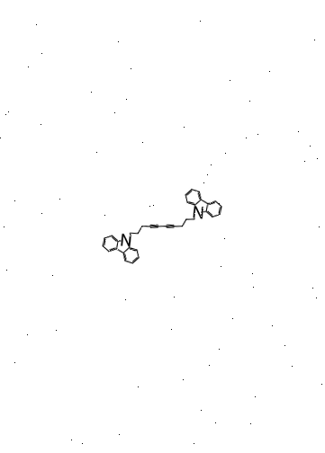 C(C#CCCCn1c2ccccc2c2ccccc21)#CCCCn1c2ccccc2c2ccccc21